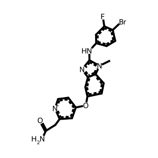 Cn1c(Nc2ccc(Br)c(F)c2)nc2cc(Oc3ccnc(CC(N)=O)c3)ccc21